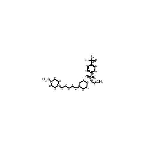 CCN([C@H]1CC[C@H](OCCCCN2CCN(C)CC2)CC1)S(=O)(=O)c1ccc(C(F)(F)F)cc1